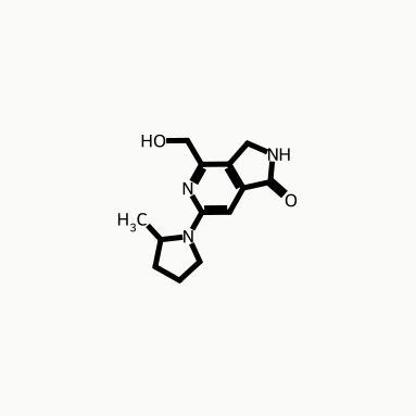 CC1CCCN1c1cc2c(c(CO)n1)CNC2=O